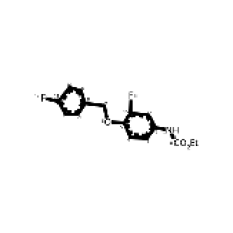 CCOC(=O)Nc1ccc(OCc2ccc(F)cc2)c(F)c1